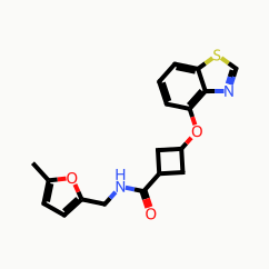 Cc1ccc(CNC(=O)C2CC(Oc3cccc4scnc34)C2)o1